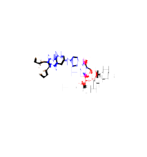 CC(C)(C)OCC(NC(=O)OC(C)(C)C)C(=O)N1CCN(c2cnc3nc(-c4cccs4)c(-c4cccs4)nc3c2)CC1